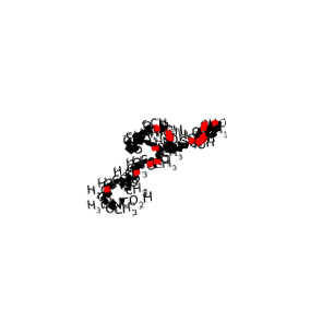 C[C@H](NC(=O)CCc1cc(F)c(N2C(=O)C=CC2=O)cc1OCCCC(=O)N(C)CC(=O)N(C)CC(=O)N(C)CC(=O)N(C)CC(=O)N(C)CC(=O)N(C)CC(=O)N(C)CC(=O)N(C)CC(=O)N(C)CC(=O)N(C)CC(=O)O)C(=O)N[C@@H](C)C(=O)Nc1cccc(Cc2csc([C@@H]3O[C@@H]4C[C@H]5[C@@H]6CCC7=CC(=O)C=C[C@]7(C)[C@H]6[C@@H](O)C[C@]5(C)[C@]4(C(=O)CO)O3)c2)c1